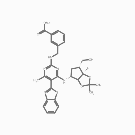 COC(=O)c1cccc(CNc2nc(C)c(-c3nc4ccccc4s3)c(N[C@@H]3C[C@H](CO)[C@H]4OC(C)(C)OC34)n2)c1